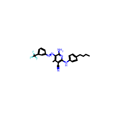 CCCCc1ccc(Nc2nc(N)c(/N=N/c3cccc(C(F)(F)F)c3)c(C)c2C#N)cc1